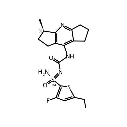 CCc1cc(F)c([S@@](N)(=O)=NC(=O)Nc2c3c(nc4c2CC[C@H]4C)CCC3)s1